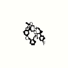 CC(=O)N(C)C1(c2ccccc2)CCN(CC2CC2(C(=O)N(C)Cc2ccccc2Cl)c2ccc(F)cc2)CC1